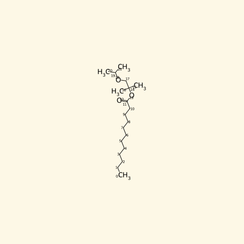 CCCCCCCCCCCC(=O)OC(C)(C)COC(C)C